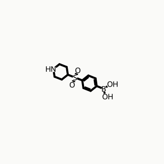 O=S(=O)(c1ccc(B(O)O)cc1)C1CCNCC1